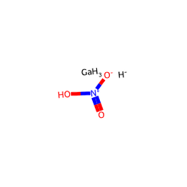 O=[N+]([O-])O.[GaH3].[H-]